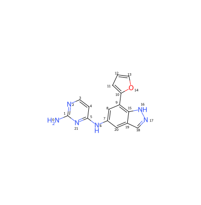 Nc1nccc(Nc2cc(-c3ccco3)c3[nH]ncc3c2)n1